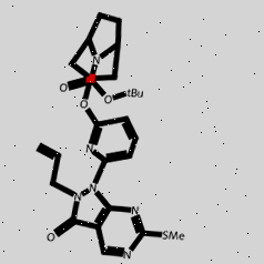 C=CCn1c(=O)c2cnc(SC)nc2n1-c1cccc(OC2CC3CCC(C2)N3C(=O)OC(C)(C)C)n1